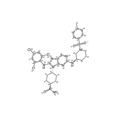 Cc1ccc(S(=O)(=O)N2CCC[C@@H](Nc3ncc4nc(Nc5c(Cl)cc(Cl)cc5Cl)n([C@H]5CC[C@H](C(N)=O)CC5)c4n3)C2)cc1